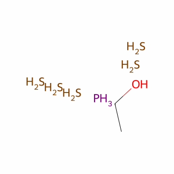 CCO.P.S.S.S.S.S